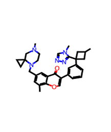 Cc1cc(CN2CCN(C)CC23CC3)cc2c(=O)c(-c3cccc(C4(c5nncn5C)CC(C)C4)c3)coc12